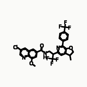 COc1cc(C(=O)NCC(c2cc3c(c(-c4ccc(C(F)(F)F)cc4)n2)OCC3C)C(F)(F)F)cc2cc(Cl)cnc12